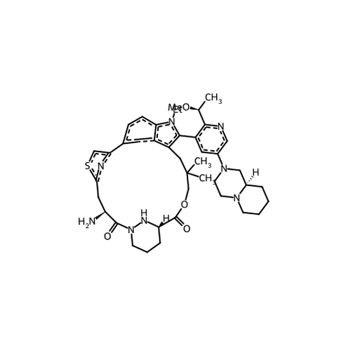 CCn1c(-c2cc(N3CCN4CCCC[C@@H]4C3)cnc2[C@H](C)OC)c2c3cc(ccc31)-c1csc(n1)C[C@H](N)C(=O)N1CCC[C@H](N1)C(=O)OCC(C)(C)C2